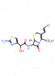 Nc1nc(C(O)C(=O)NC2C(=O)N3C(C(=O)O)=C(/C=C/Cl)CS[C@H]23)cs1